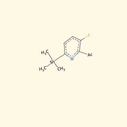 CC(=O)c1n[c]([Sn]([CH3])([CH3])[CH3])ccc1F